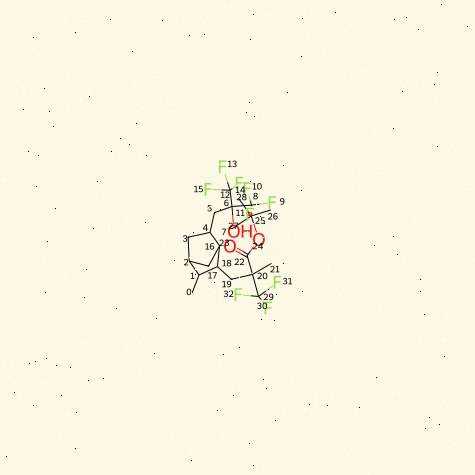 CC1C2CC(CC(O)(C(F)(F)F)C(F)(F)F)C(C2)C1CC(C)(C(=O)OC(C)(C)C)C(F)(F)F